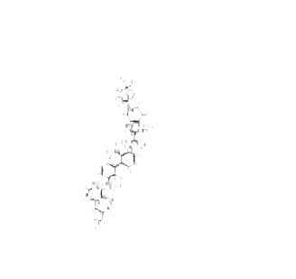 Cc1c(Nc2ncnc3cc(C=O)cnc23)cccc1-c1cccc(NC(=O)c2nc3c(n2C)CCN(C(=O)OC(C)(C)C)C3)c1Cl